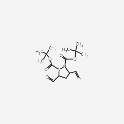 CC(C)(C)OC(=O)N1C(C=O)CC(C=O)N1C(=O)OC(C)(C)C